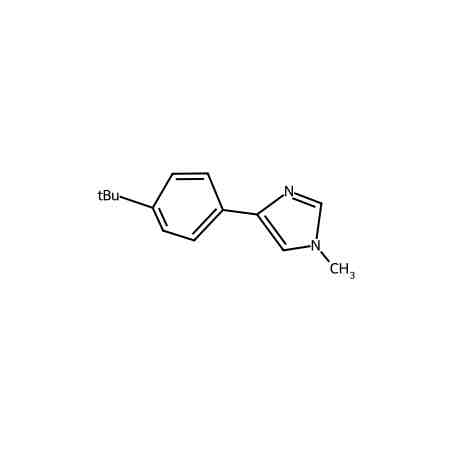 Cn1cnc(-c2ccc(C(C)(C)C)cc2)c1